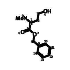 CNN(CCO)C(=O)OCc1ccccc1